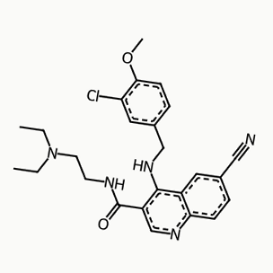 CCN(CC)CCNC(=O)c1cnc2ccc(C#N)cc2c1NCc1ccc(OC)c(Cl)c1